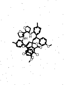 COc1ccc(/C(=C\C2(/C=C(\c3ccc(OC)cc3)c3ccc(C)cc3NCC3CCCO3)OC(=O)c3c(Cl)c(Cl)c(Cl)c(Cl)c32)c2ccc(C)cc2NCC2CCCO2)cc1